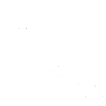 CCN(CC)S(=O)(=O)c1ccc(S(=O)(=O)N2CCCC(C(=O)NC3(C#N)CC3)C2)cc1